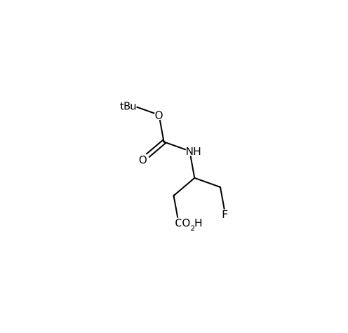 CC(C)(C)OC(=O)NC(CF)CC(=O)O